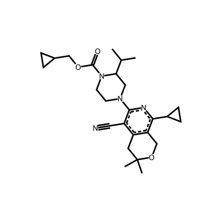 CC(C)C1CN(c2nc(C3CC3)c3c(c2C#N)CC(C)(C)OC3)CCN1C(=O)OCC1CC1